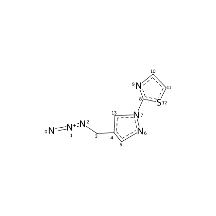 [N-]=[N+]=NCc1cnn(-c2nccs2)c1